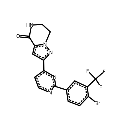 O=C1NCCn2nc(-c3ccnc(-c4ccc(Br)c(C(F)(F)F)c4)n3)cc21